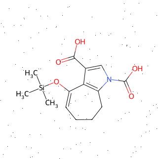 C[Si](C)(C)OC1=CCCCc2c1c(C(=O)O)cn2C(=O)O